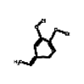 CC=C1C=C(OCC)C(OCC)=CC1